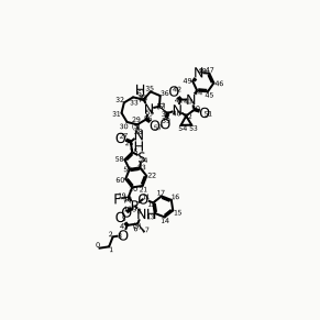 CCCOC(=O)[C@H](C)NP(=O)(Oc1ccccc1)[C@@H](F)c1ccc2sc(C(=O)N[C@H]3CCCC[C@H]4CC[C@@H](C(=O)N5C(=O)N(c6cccnc6)C(=O)C56CC6)N4C3=O)cc2c1